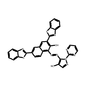 N#Cc1cnn(-c2ncccn2)c1/N=N/c1c(O)c(-c2nc3ccccc3s2)cc2cc(-c3nc4ccccc4s3)ccc12